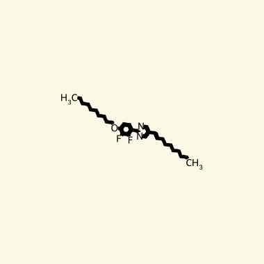 CCCCCCCCC=Cc1cnc(-c2ccc(OCCCCCCCCCC)c(F)c2F)nc1